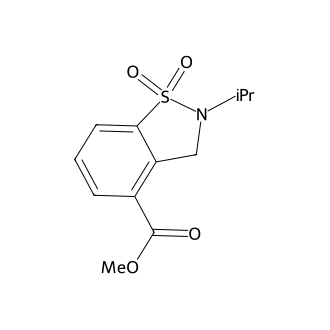 COC(=O)c1cccc2c1CN(C(C)C)S2(=O)=O